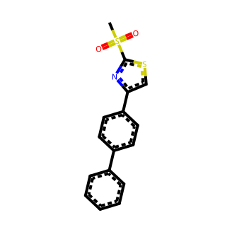 CS(=O)(=O)c1nc(-c2ccc(-c3ccccc3)cc2)cs1